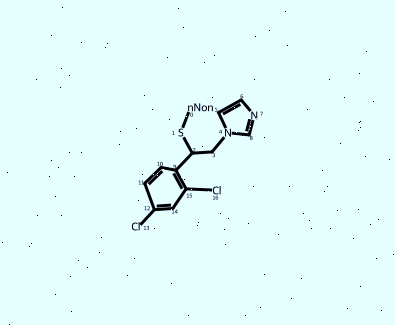 CCCCCCCCCSC(Cn1ccnc1)c1ccc(Cl)cc1Cl